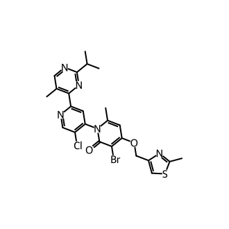 Cc1nc(COc2cc(C)n(-c3cc(-c4nc(C(C)C)ncc4C)ncc3Cl)c(=O)c2Br)cs1